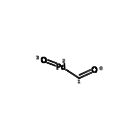 O=[CH][Pd]=[O]